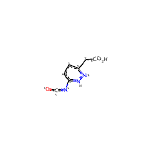 O=C=Nc1ccc(CC(=O)O)nn1